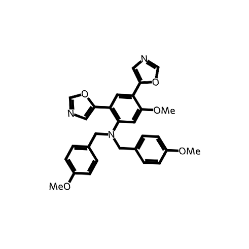 COc1ccc(CN(Cc2ccc(OC)cc2)c2cc(OC)c(-c3cnco3)cc2-c2cnco2)cc1